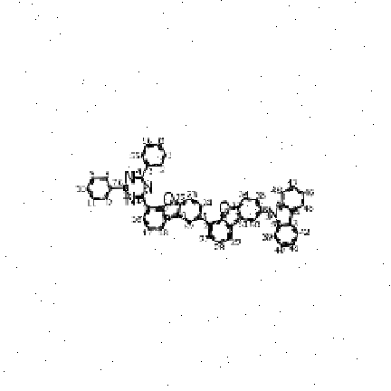 c1ccc(-c2nc(-c3ccccc3)nc(-c3cccc4c3oc3ccc(-c5cccc6c5oc5ccc(-n7c8ccccc8c8ccccc87)cc56)cc34)n2)cc1